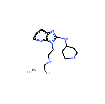 Cl.Cl.O=C(O)CNCCn1c(NC2CCNCC2)nc2cccnc21